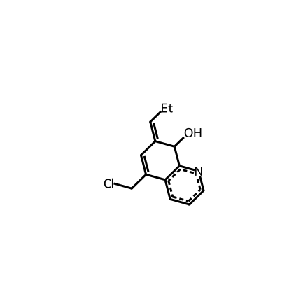 CCC=C1C=C(CCl)c2cccnc2C1O